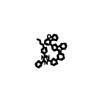 CCCCc1ccc(-c2nc(-c3ccccc3)nc(-c3cccc(-c4cccc(-n5c6ccccc6c6cc(-c7cccc8oc9ccccc9c78)ccc65)c4)c3)n2)cc1